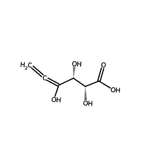 C=C=C(O)[C@H](O)[C@@H](O)C(=O)O